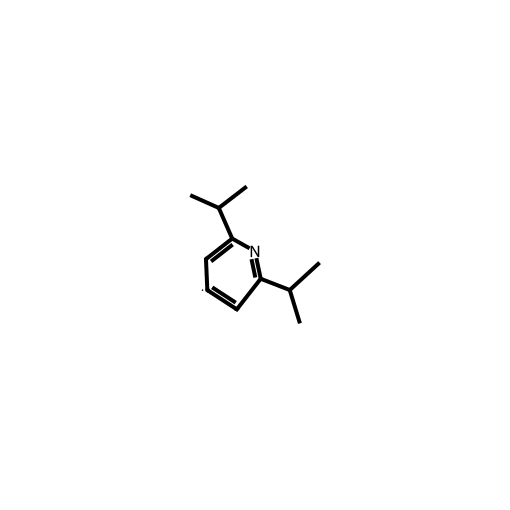 CC(C)c1c[c]cc(C(C)C)n1